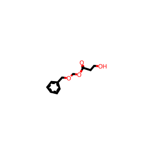 O=C(CCO)OCOCc1ccccc1